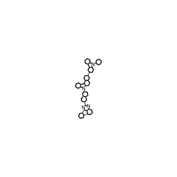 c1ccc(-n2c3ccccc3c3cc(-c4ccc5c(ccc6c5c5ccccc5n6-c5ccc6cc(-c7nc8c9c(cccc9n7)-c7ccccc7-8)ccc6c5)c4)ccc32)cc1